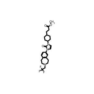 COC(=O)CCC1CCC(n2ccn(-c3ccc4c(c3)CCN(CC(F)(F)F)CC4)c2=O)CC1